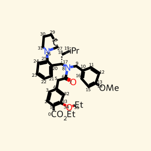 CCOC(=O)c1ccc(CC(=O)N(Cc2ccc(OC)cc2)[C@@H](CC(C)C)c2ccccc2N2CCCCC2)cc1OCC